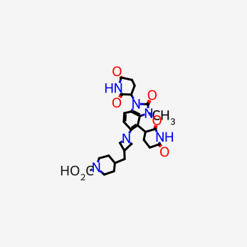 Cn1c(=O)n(C2CCC(=O)NC2=O)c2ccc(N3CC(CC4CCN(C(=O)O)CC4)C3)c(C3CCC(=O)NC3=O)c21